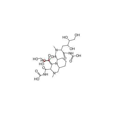 CN(CC1CCCC(CN(C)C(CC(O)C(O)CO)C(=O)NC(=O)O)N1CC(=O)O)C(CC(O)C(O)CO)C(=O)NC(=O)O